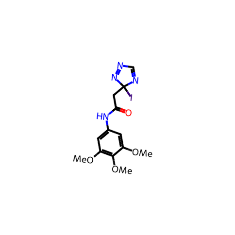 COc1cc(NC(=O)CC2(I)N=CN=N2)cc(OC)c1OC